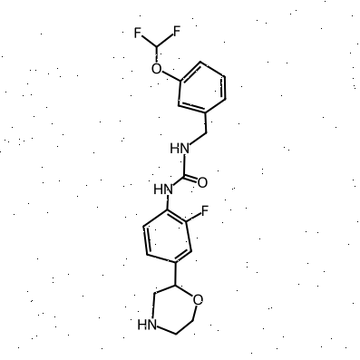 O=C(NCc1cccc(OC(F)F)c1)Nc1ccc(C2CNCCO2)cc1F